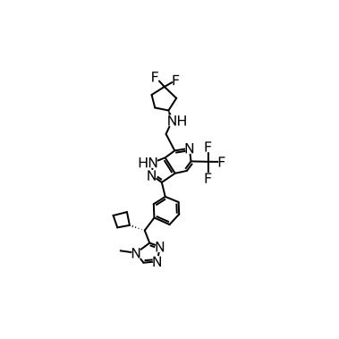 Cn1cnnc1[C@@H](c1cccc(-c2n[nH]c3c(CN[C@H]4CCC(F)(F)C4)nc(C(F)(F)F)cc23)c1)C1CCC1